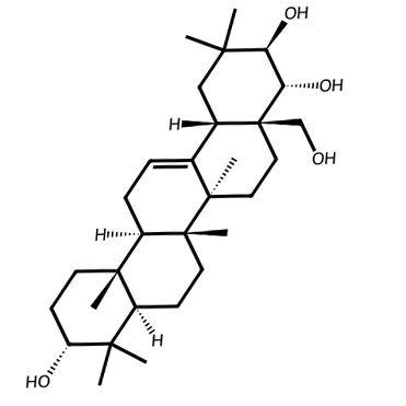 CC1(C)C[C@H]2C3=CC[C@@H]4[C@@]5(C)CC[C@@H](O)C(C)(C)[C@@H]5CC[C@@]4(C)[C@]3(C)CC[C@@]2(CO)[C@@H](O)[C@@H]1O